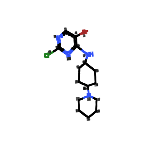 Clc1ncc(Br)c(NC2CCC(N3CCCCC3)CC2)n1